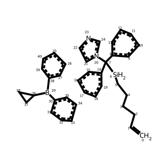 C=CCCCC[SiH2]C(c1ccccc1)(c1ccccc1)n1ccnc1.c1ccc(B(c2ccccc2)C2CC2)cc1